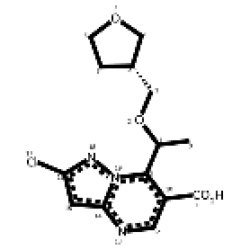 CC(OC[C@@H]1CCOC1)c1c(C(=O)O)cnc2cc(Cl)nn12